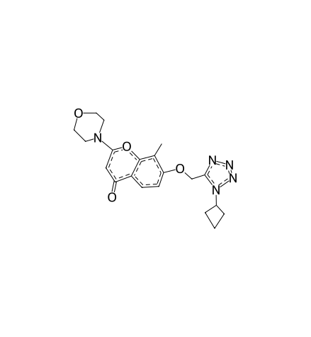 Cc1c(OCc2nnnn2C2CCC2)ccc2c(=O)cc(N3CCOCC3)oc12